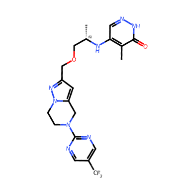 Cc1c(N[C@@H](C)COCc2cc3n(n2)CCN(c2ncc(C(F)(F)F)cn2)C3)cn[nH]c1=O